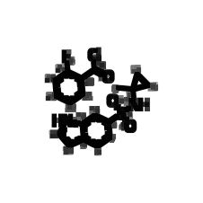 CC1(NS(=O)(=O)c2ccc3cc[nH]c3c2)CC1.O=C(Cl)c1ccccc1F